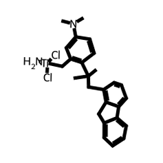 CN(C)c1ccc(C(C)(C)Cc2cccc3c2Cc2ccccc2-3)c([CH2][Ti]([NH2])([Cl])[Cl])c1